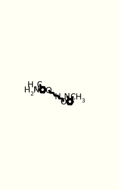 Cc1cc(OCCCCCCOc2cccc(C)c2N)ccc1N